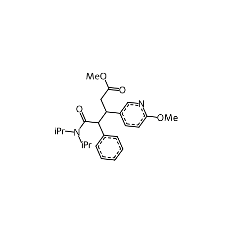 COC(=O)CC(c1ccc(OC)nc1)C(C(=O)N(C(C)C)C(C)C)c1ccccc1